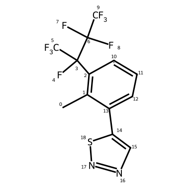 Cc1c(C(F)(C(F)(F)F)C(F)(F)C(F)(F)F)[c]ccc1-c1cnns1